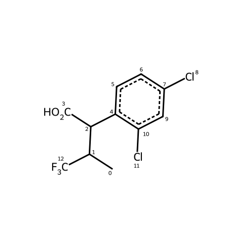 CC(C(C(=O)O)c1ccc(Cl)cc1Cl)C(F)(F)F